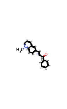 C[n+]1cccc2cc(/C=C/C(=O)c3ccccc3)ccc21